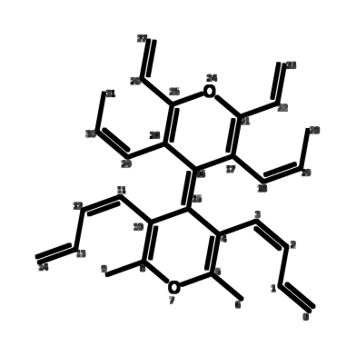 C=C/C=C\C1=C(C)OC(C)=C(/C=C\C=C)C1=C1C(/C=C\C)=C(C=C)OC(C=C)=C1/C=C\C